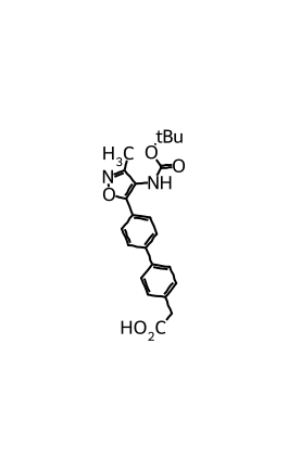 Cc1noc(-c2ccc(-c3ccc(CC(=O)O)cc3)cc2)c1NC(=O)OC(C)(C)C